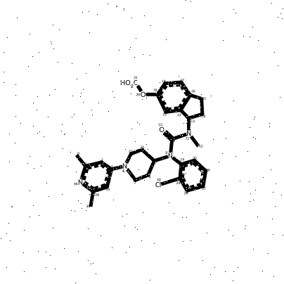 Cc1cc(N2CCC(N(C(=O)N(C)C3CCc4ccc(OC(=O)O)cc43)c3ccccc3Cl)CC2)cc(C)n1